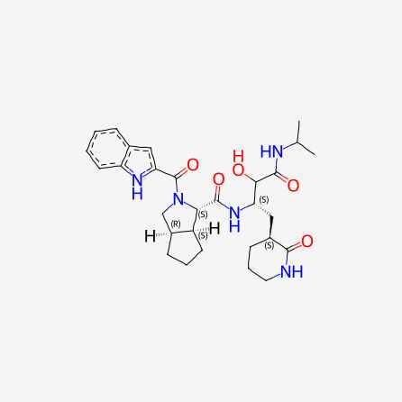 CC(C)NC(=O)C(O)[C@H](C[C@@H]1CCCNC1=O)NC(=O)[C@@H]1[C@H]2CCC[C@H]2CN1C(=O)c1cc2ccccc2[nH]1